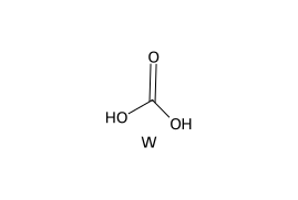 O=C(O)O.[W]